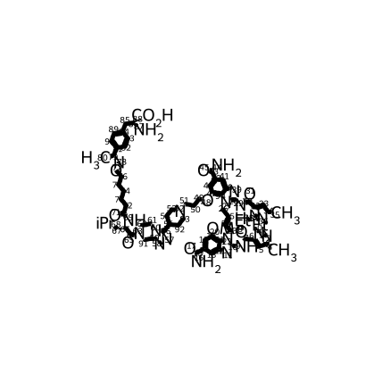 CCn1nc(C)cc1C(=O)Nc1nc2cc(C(N)=O)cc(OC)c2n1C/C=C/Cn1c(NC(=O)c2cc(C)nn2CC)nc2cc(C(N)=O)cc(OCCCN3CCC(c4nnc5n4CCN(C(=O)[C@H](CC(C)C)NC(=O)CCCCCO/N=C(\C)c4ccc(C[C@H](N)C(=O)O)cc4)C5)CC3)c21